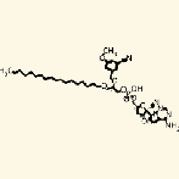 CCCCCCCCCCCCCCCCCCOC[C@H](COP(=O)(O)OC[C@@H]1C[C@@H](O)[C@](C#N)(c2ccc3c(N)ncnn23)O1)OCc1cc(C#N)cc(OC)c1